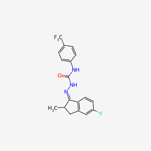 CC1Cc2cc(F)ccc2C1=NNC(=O)Nc1ccc(C(F)(F)F)cc1